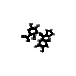 O=C(O)c1cc(F)c(F)cc1Cl.O=C(c1cc(F)c(F)cc1Cl)N1CCCC1